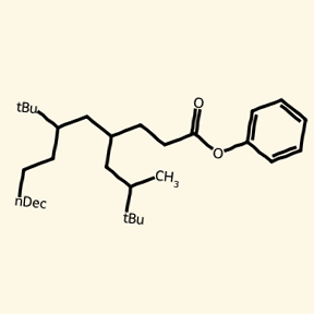 CCCCCCCCCCCCC(CC(CCC(=O)Oc1ccccc1)CC(C)C(C)(C)C)C(C)(C)C